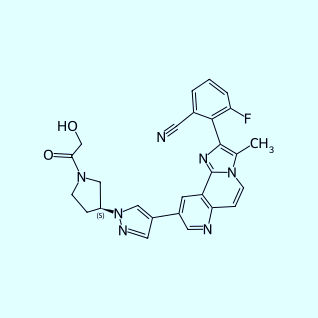 Cc1c(-c2c(F)cccc2C#N)nc2c3cc(-c4cnn([C@H]5CCN(C(=O)CO)C5)c4)cnc3ccn12